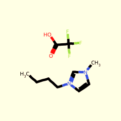 CCCC[n+]1ccn(C)c1.O=C(O)C(F)(F)F